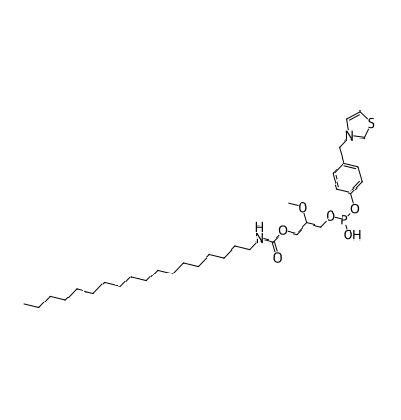 CCCCCCCCCCCCCCCCCCNC(=O)OCC(COP(O)Oc1ccc(CN2C=CSC2)cc1)OC